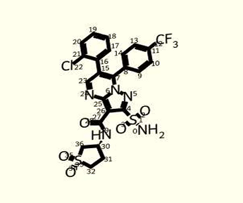 NS(=O)(=O)c1nn2c(-c3ccc(C(F)(F)F)cc3)c(-c3ccccc3Cl)cnc2c1C(=O)N[C@@H]1CCS(=O)(=O)C1